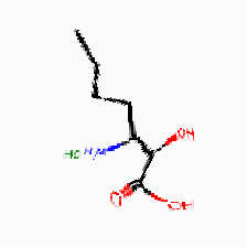 CCCC[C@H](N)[C@@H](O)C(=O)O.Cl